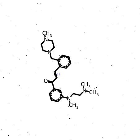 CN(C)CCN(C)c1cccc(C(=O)/C=C/c2ccccc2CN2CCN(C)CC2)c1